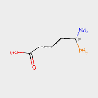 N[C@H](P)CCCC(=O)O